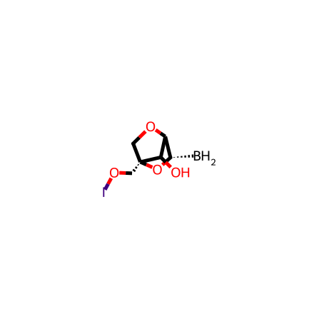 B[C@@H]1O[C@@]2(COI)COC1C2O